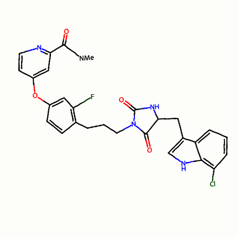 CNC(=O)c1cc(Oc2ccc(CCCN3C(=O)NC(Cc4c[nH]c5c(Cl)cccc45)C3=O)c(F)c2)ccn1